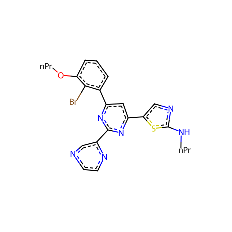 CCCNc1ncc(-c2cc(-c3cccc(OCCC)c3Br)nc(-c3cnccn3)n2)s1